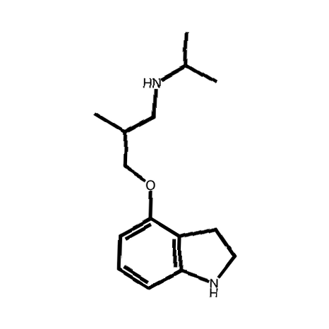 CC(CNC(C)C)COc1cccc2c1CCN2